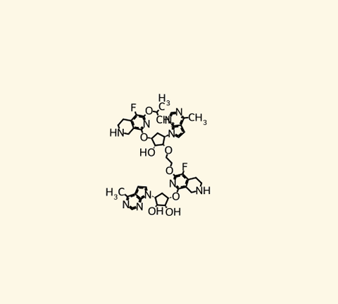 Cc1ncnc2c1ccn2[C@@H]1C[C@H](Oc2nc(OCCO[C@@H]3[C@H](O)[C@@H](Oc4nc(OC(C)C)c(F)c5c4CNCC5)C[C@H]3n3ccc4c(C)ncnc43)c(F)c3c2CNCC3)[C@@H](O)[C@H]1O